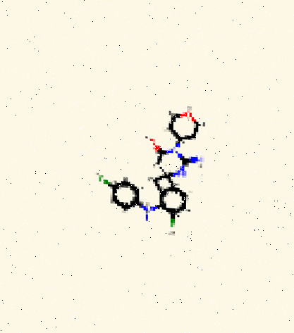 N=C1N[C@]2(CC(=O)N1C1CCOCC1)Cc1c2ccc(F)c1Nc1ccc(F)cc1